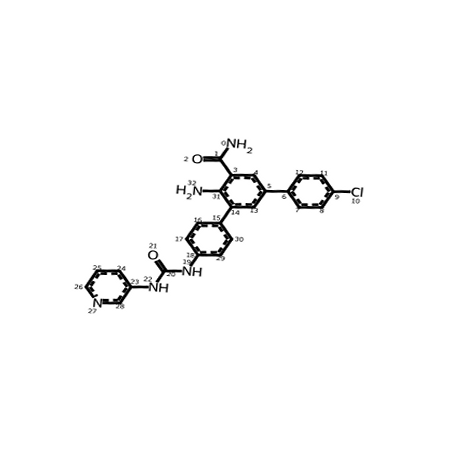 NC(=O)c1cc(-c2ccc(Cl)cc2)cc(-c2ccc(NC(=O)Nc3cccnc3)cc2)c1N